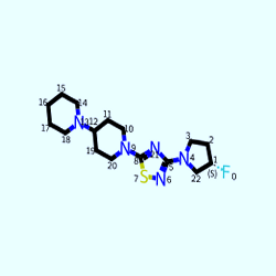 F[C@H]1CCN(c2nsc(N3CCC(N4CCCCC4)CC3)n2)C1